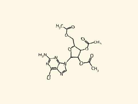 CC(=O)OCC1OC(n2cnc3c(Cl)nc(N)nc32)C(OC(C)=O)C1OC(C)=O